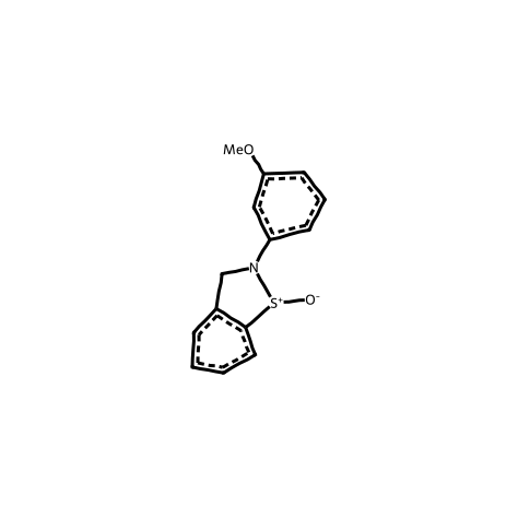 COc1cccc(N2Cc3ccccc3[S+]2[O-])c1